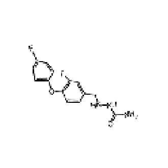 NC(=O)NNCc1ccc(Oc2ccc(F)cc2)c(F)c1